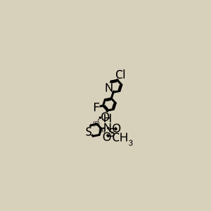 CS(=O)(=O)N[C@H]1CCSC[C@@H]1COc1ccc(-c2ccc(Cl)cn2)cc1F